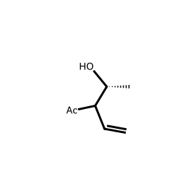 C=CC(C(C)=O)[C@@H](C)O